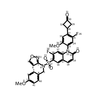 COc1ccc(CN(c2ccon2)S(=O)(=O)c2cc3ccc(=O)n(-c4cc(F)c(C5CC(=O)C5)cc4OC)c3cc2F)cc1